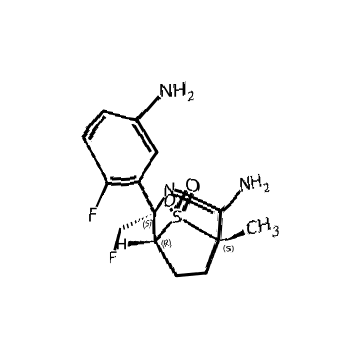 C[C@]12CC[C@H]([C@@](CF)(c3cc(N)ccc3F)N=C1N)S2(=O)=O